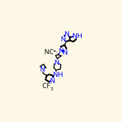 N#CC[C@]1(n2cc(-c3ncnc4[nH]ccc34)cn2)C[C@@H](N2CCC(Nc3cc(CN4CCC4)cc(C(F)(F)F)n3)CC2)C1